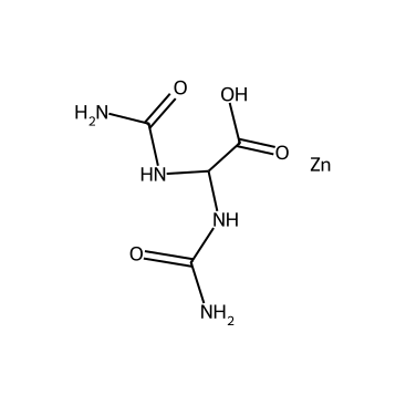 NC(=O)NC(NC(N)=O)C(=O)O.[Zn]